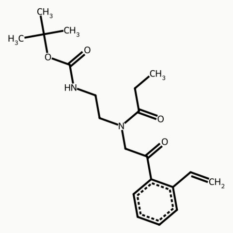 C=Cc1ccccc1C(=O)CN(CCNC(=O)OC(C)(C)C)C(=O)CC